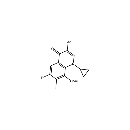 COc1c(F)c(F)cc2c(=O)c(C(C)=O)cn(C3CC3)c12